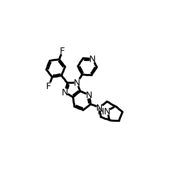 Fc1ccc(F)c(-c2nc3ccc(N4CC5CCC(C4)N5)nc3n2-c2ccncc2)c1